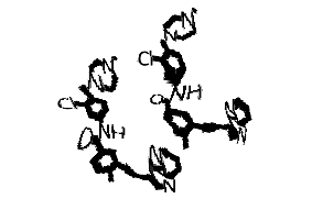 Cc1ccc(C(=O)Nc2ccc(CN3CCN(C)CC3)c(Cl)c2)cc1C#Cc1cnc2cccnn12.Cc1ccc(C(=O)Nc2ccc(CN3CCN(C)CC3)c(Cl)c2)cc1C#Cc1cnc2cccnn12